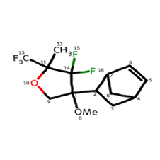 COC1(C2CC3C=CC2C3)COC(C)(C(F)(F)F)C1(F)F